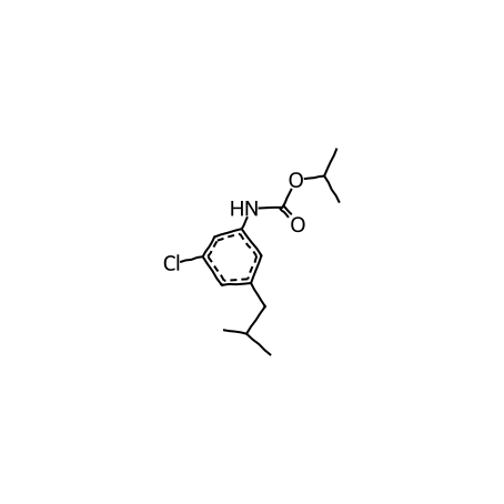 CC(C)Cc1cc(Cl)cc(NC(=O)OC(C)C)c1